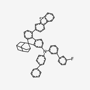 Fc1cccc(-c2cccc(N(c3ccc(-c4ccccc4)cc3)c3ccc4c(c3)C3(c5cccc(-c6ccc7c(c6)sc6ccccc67)c5-4)C4CC5CC(C4)CC3C5)c2)c1